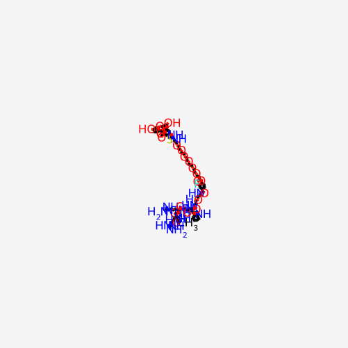 CC(=O)N[C@@H](CCCNC(=N)N)C(=O)N[C@@H](CCCNC(=N)N)C(=O)NCC(=O)N[C@@H](Cc1c[nH]c2ccccc12)C(=O)NCCOCCNC(=O)c1ccc(OC(=O)CCOCCOCCOCCOCCOCCOCCNC(=S)Nc2ccc3c(c2)C(=O)OC32c3ccc(O)cc3Oc3cc(O)ccc32)c(F)c1